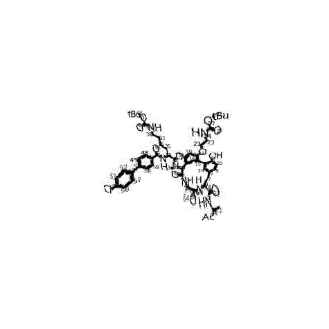 CC(=O)[C@H](C)NC(=O)[C@@H]1Cc2ccc(O)c(c2)-c2cc(ccc2OCCNC(=O)OC(C)(C)C)[C@H](N(C)C(=O)[C@H](CCCCNC(=O)OC(C)(C)C)NC(=O)c2ccc(-c3ccc(Cl)cc3)cc2)C(=O)N[C@@H](C)C(=O)N1